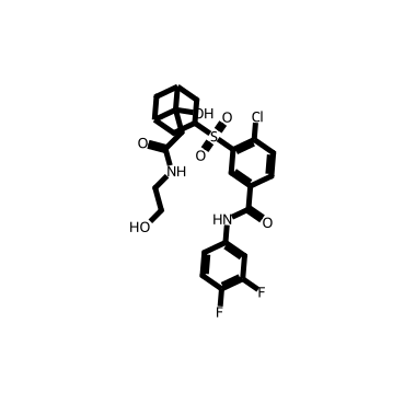 O=C(CC1(O)C2CC1CC(S(=O)(=O)c1cc(C(=O)Nc3ccc(F)c(F)c3)ccc1Cl)C2)NCCO